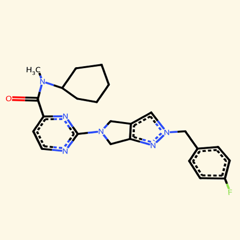 CN(C(=O)c1ccnc(N2Cc3cn(Cc4ccc(F)cc4)nc3C2)n1)C1CCCCC1